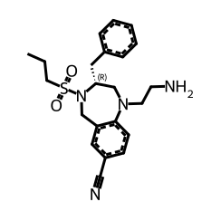 CCCS(=O)(=O)N1Cc2cc(C#N)ccc2N(CCN)C[C@H]1Cc1ccccc1